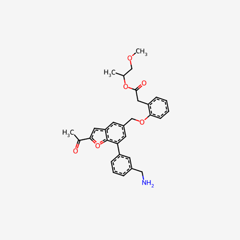 COCC(C)OC(=O)Cc1ccccc1OCc1cc(-c2cccc(CN)c2)c2oc(C(C)=O)cc2c1